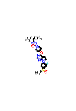 CC(C)c1noc(N2CCC(Oc3ncnc4c3CCN4c3ccc([S+](C)[O-])cc3F)CC2)n1